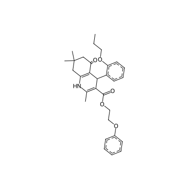 CCCOc1ccccc1C1C(C(=O)OCCOc2ccccc2)=C(C)NC2=C1C(=O)CC(C)(C)C2